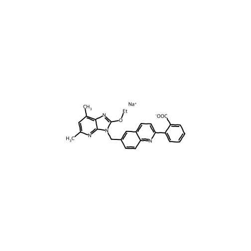 CCOc1nc2c(C)cc(C)nc2n1Cc1ccc2nc(-c3ccccc3C(=O)[O-])ccc2c1.[Na+]